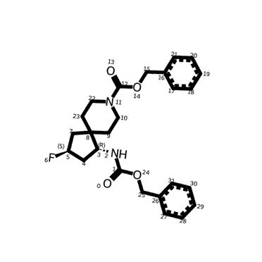 O=C(N[C@@H]1C[C@@H](F)CC12CCN(C(=O)OCc1ccccc1)CC2)OCc1ccccc1